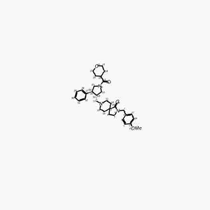 COc1ccc(CN2CCC3(CCN(C[C@H]4CN(C(=O)C5CCOCC5)C[C@@H]4c4ccccc4)CC3)C2=O)cc1